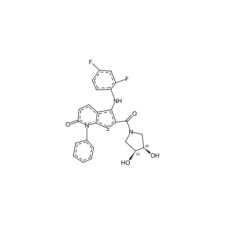 O=C(c1sc2c(ccc(=O)n2-c2ccccc2)c1Nc1ccc(F)cc1F)N1C[C@@H](O)[C@@H](O)C1